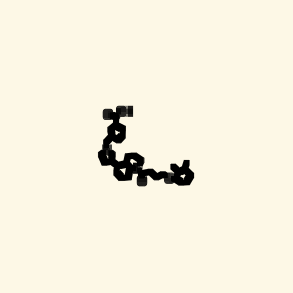 Cc1cccc(OCCCC(=O)N2CCCc3c(-c4ccn(Cc5cccc(C(=O)O)c5)c4)cccc32)c1C